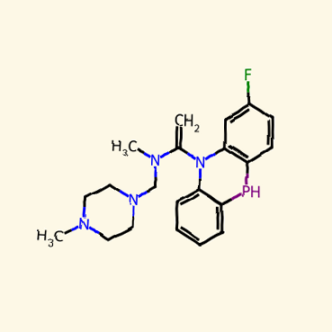 C=C(N(C)CN1CCN(C)CC1)N1c2ccccc2Pc2ccc(F)cc21